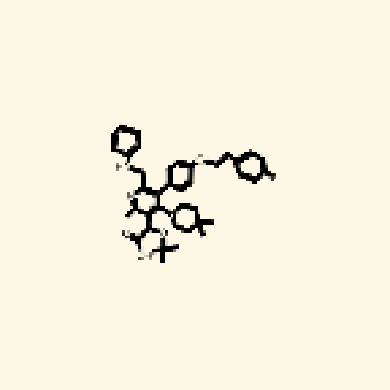 Cc1nc(CNc2ccccc2)c(-c2ccc(OCCc3ccc(F)cc3)cc2)c(N2CCC(C)(C)CC2)c1C(OC(C)(C)C)C(=O)O